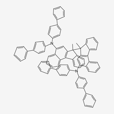 CC1(C2(C)c3ccccc3-c3c2cc(N(c2ccc(-c4ccccc4)cc2)c2ccc(-c4ccccc4)cc2)c2ccccc32)c2ccccc2-c2c1cc(N(c1ccc(-c3ccccc3)cc1)c1ccc(-c3ccccc3)cc1)c1ccccc21